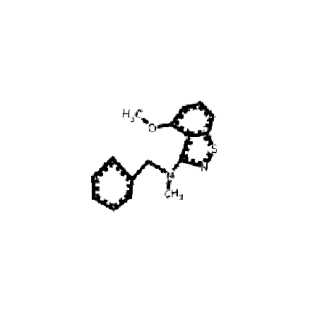 COc1cccc2snc(N(C)Cc3ccccc3)c12